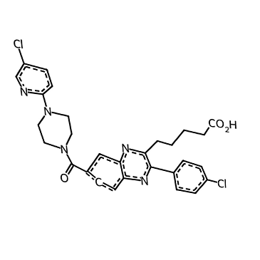 O=C(O)CCCCc1nc2cc(C(=O)N3CCN(c4ccc(Cl)cn4)CC3)ccc2nc1-c1ccc(Cl)cc1